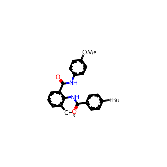 COc1ccc(NC(=O)c2cccc(C)c2NC(=O)c2ccc(C(C)(C)C)cc2)cc1